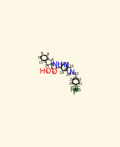 O=C(NC1(CO)Cc2ccccc2C1)c1cnc2c(c1)CN(Cc1ccc(C(F)(F)F)cc1)C2